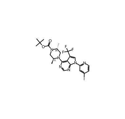 C[C@@H]1CN(c2ncnc3c2c(C(F)(F)F)cn3-c2cc(I)ccn2)[C@@H](C)CN1C(=O)OC(C)(C)C